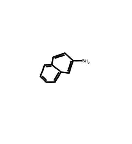 Bc1ccc2ccccc2c1